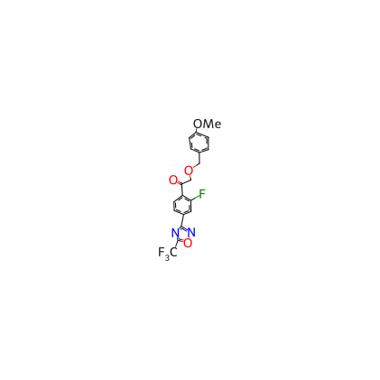 COc1ccc(COCC(=O)c2ccc(-c3noc(C(F)(F)F)n3)cc2F)cc1